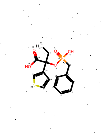 CCC(OP(=O)(O)Cc1ccccc1)(C(=O)O)c1ccsc1